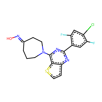 O/N=C1\CCCN(c2nc(-c3cc(F)c(Cl)cc3F)nc3ccsc23)CC1